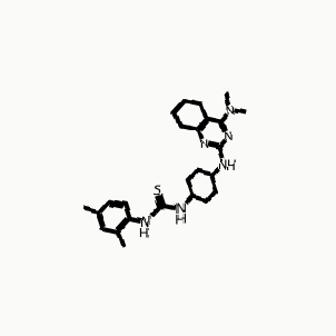 Cc1ccc(NC(=S)NC2CCC(Nc3nc4c(c(N(C)C)n3)CCCC4)CC2)c(C)c1